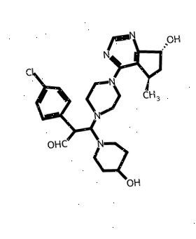 C[C@@H]1C[C@@H](O)c2ncnc(N3CCN(C(C(C=O)c4ccc(Cl)cc4)N4CCC(O)CC4)CC3)c21